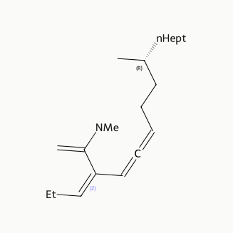 C=C(NC)/C(C=C=CCC[C@H](C)CCCCCCC)=C\CC